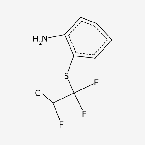 Nc1ccccc1SC(F)(F)C(F)Cl